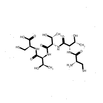 C[C@@H](O)[C@H](NC(=O)[C@@H](NC(=O)[C@@H](NC(=O)[C@@H](N)CS)[C@@H](C)O)[C@@H](C)O)C(=O)N[C@@H](CS)C(=O)O